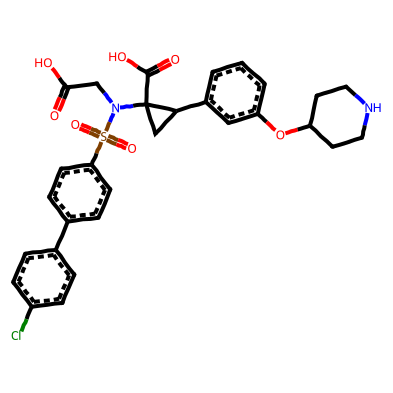 O=C(O)CN(C1(C(=O)O)CC1c1cccc(OC2CCNCC2)c1)S(=O)(=O)c1ccc(-c2ccc(Cl)cc2)cc1